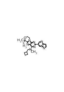 CN(CC1CCC1)c1nc(-c2cnc3ccnn3c2)nc2c1nc1n2CCOC1(C)C